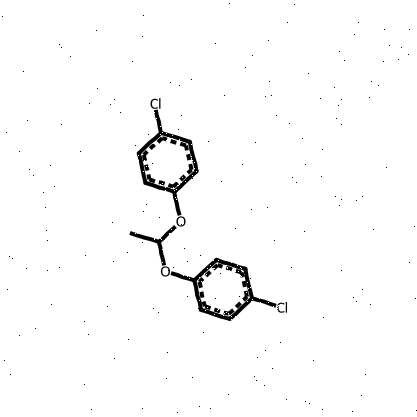 CC(Oc1ccc(Cl)cc1)Oc1ccc(Cl)cc1